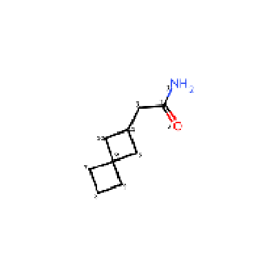 NC(=O)CC1CC2(CCC2)C1